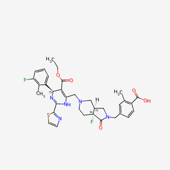 CCOC(=O)C1=C(CN2CC[C@]3(F)C(=O)N(Cc4ccc(C(=O)O)c(C)c4)C[C@@H]3C2)NC(c2nccs2)=N[C@H]1c1cccc(F)c1C